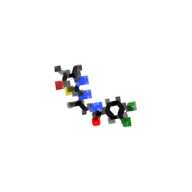 C=C(CNC(=O)c1ccc(Cl)c(Cl)c1)NC(=S)NC(C)[C@@H](C)Br